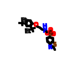 CCC(C)(C)c1ccc(OCCCNOS(=O)(=O)c2ccc3nc(C)sc3c2)c(C(C)(C)CC)c1